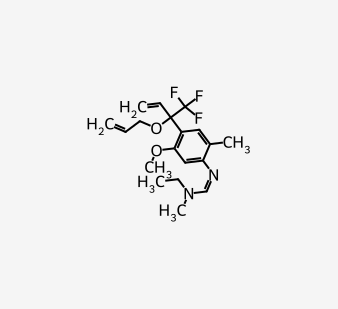 C=CCOC(C=C)(c1cc(C)c(/N=C\N(C)CC)cc1OC)C(F)(F)F